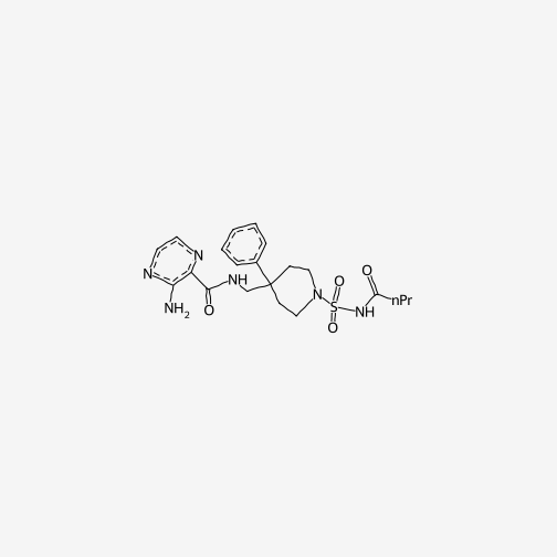 CCCC(=O)NS(=O)(=O)N1CCC(CNC(=O)c2nccnc2N)(c2ccccc2)CC1